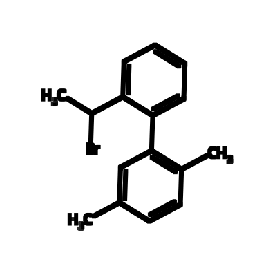 Cc1ccc(C)c(-c2ccccc2C(C)Br)c1